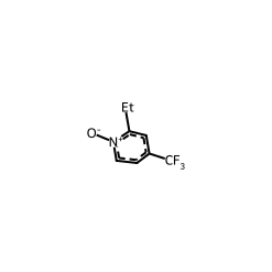 CCc1cc(C(F)(F)F)cc[n+]1[O-]